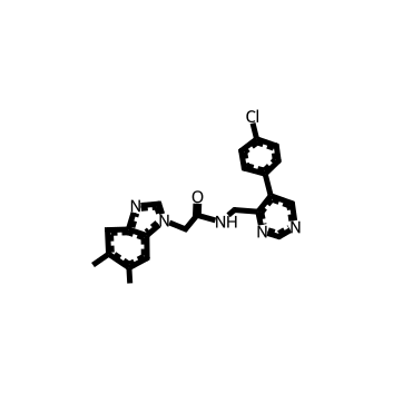 Cc1cc2ncn(CC(=O)NCc3ncncc3-c3ccc(Cl)cc3)c2cc1C